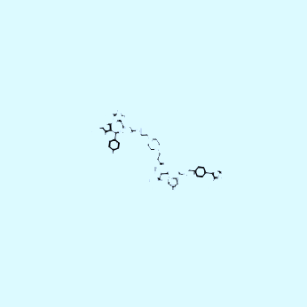 Cc1ncsc1-c1ccc(CNC(=O)[C@@H]2C[C@@H](O)CN2C(=O)C(NC(=O)CCN2CCN(CCNC(=O)C[C@@H]3N=C(c4ccc(Cl)cc4)c4c(sc(C)c4C)-n4c(C)nnc43)CC2)C(C)(C)C)cc1